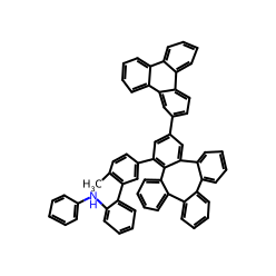 Cc1ccc(-c2cc(-c3ccc4c5ccccc5c5ccccc5c4c3)cc3c2-c2ccccc2-c2ccccc2-c2ccccc2-3)cc1-c1ccccc1Nc1ccccc1